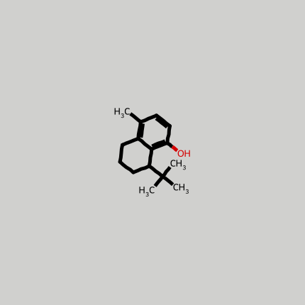 Cc1ccc(O)c2c1CCCC2C(C)(C)C